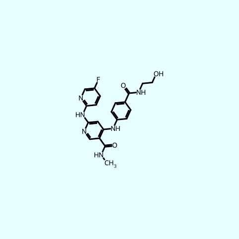 CNC(=O)c1cnc(Nc2ccc(F)cn2)cc1Nc1ccc(C(=O)NCCO)cc1